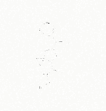 C[C@H](c1ccccc1)N1CC(N(C)C(=O)OC(C)(C)C)C2(CC2)C1